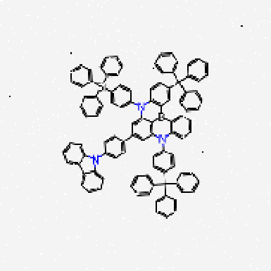 c1ccc(C(c2ccccc2)(c2ccccc2)c2ccc(N3c4ccccc4B4c5cc(C(c6ccccc6)(c6ccccc6)c6ccccc6)ccc5N(c5ccc([Si](c6ccccc6)(c6ccccc6)c6ccccc6)cc5)c5cc(-c6ccc(-n7c8ccccc8c8ccccc87)cc6)cc3c54)cc2)cc1